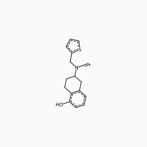 CCCN(Cc1cccs1)C1CCc2c(O)cccc2C1